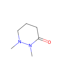 CN1CCCC(=O)N1C